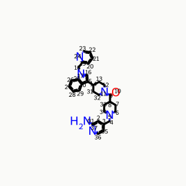 Nc1cc(CN2CCC(C(=O)N3CCC(c4cn(Cc5ccccn5)c5ccccc45)CC3)CC2)ccn1